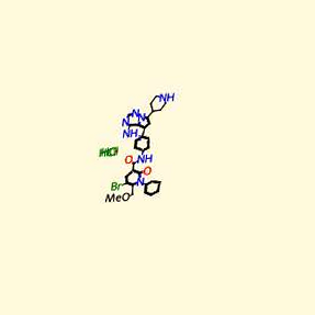 COCc1c(Br)cc(C(=O)Nc2ccc(-c3cc(C4CCNCC4)n4ncnc(N)c34)cc2)c(=O)n1-c1ccccc1.Cl.Cl